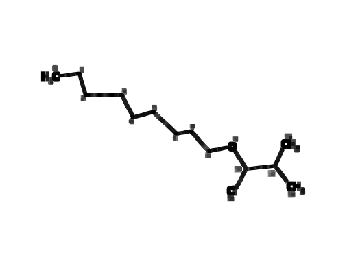 CCCCCCCCCOC(Cl)C(C)C